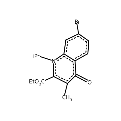 CCOC(=O)c1c(C)c(=O)c2ccc(Br)cc2n1C(C)C